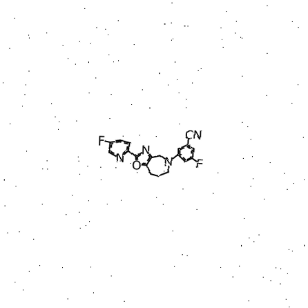 N#Cc1cc(F)cc(N2CCCc3oc(-c4ccc(F)cn4)nc3C2)c1